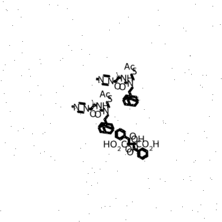 CC(=O)SCCN(CCC12CC3CC(CC(C3)C1)C2)C(=O)N[C@@H](C)C(=O)N1CCN(C)CC1.CC(=O)SCCN(CCC12CC3CC(CC(C3)C1)C2)C(=O)N[C@@H](C)C(=O)N1CCN(C)CC1.O=C(O)C(O)(C(=O)c1ccccc1)C(O)(C(=O)O)C(=O)c1ccccc1